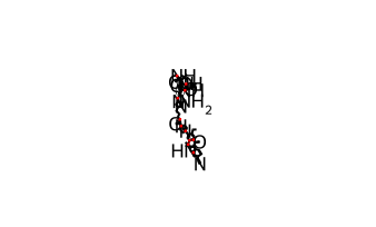 CCc1cc2c(cc1N1CCN(C(=O)CCCCc3cn(CCC[C@H](NC(=O)OC(C)(C)C)C(=O)N[C@H](C(=O)NC)C(C)(C)C)c(N)n3)CC1)C(C)(C)c1[nH]c3cc(C#N)ccc3c1C2=O